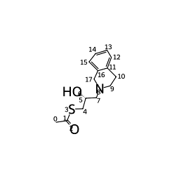 CC(=O)SC[C@H](O)CN1CCc2ccccc2C1